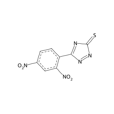 O=[N+]([O-])c1ccc(C2=NC(=S)N=N2)c([N+](=O)[O-])c1